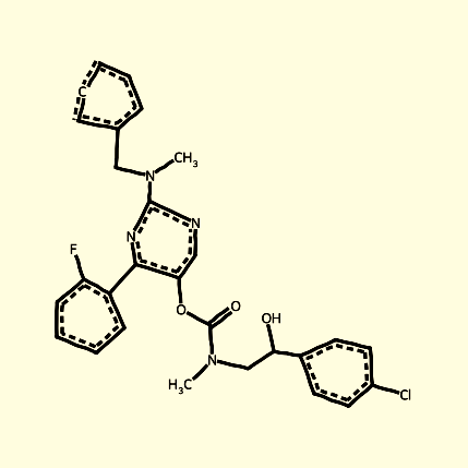 CN(CC(O)c1ccc(Cl)cc1)C(=O)Oc1cnc(N(C)Cc2ccccc2)nc1-c1ccccc1F